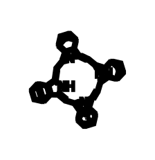 C1=CC2CCC1C1=C2c2cc3[nH]c(cc4nc(cc5[nH]c(cc1n2)c1c5C2C=CC1CC2)C1C2C=CC(CC2)C41)c1c3C2C=CC1CC2